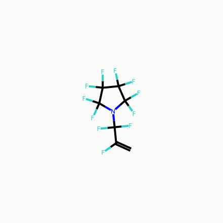 C=C(F)C(F)(F)N1C(F)(F)C(F)(F)C(F)(F)C1(F)F